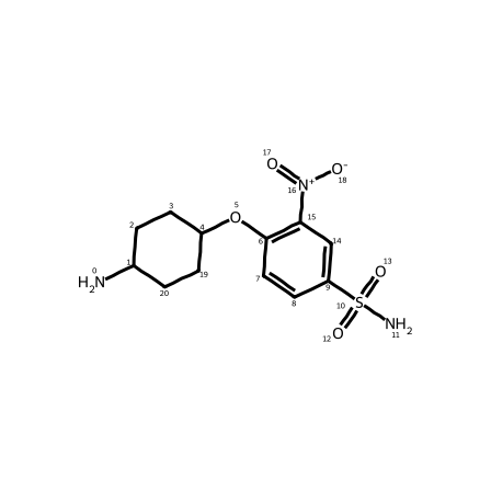 NC1CCC(Oc2ccc(S(N)(=O)=O)cc2[N+](=O)[O-])CC1